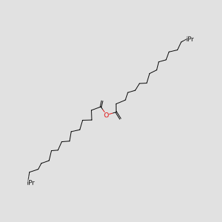 C=C(CCCCCCCCCCCCCC(C)C)OC(=C)CCCCCCCCCCCCCC(C)C